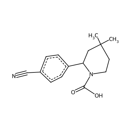 CC1(C)CCN(C(=O)O)C(c2ccc(C#N)cc2)C1